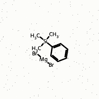 C[Si](C)(C)c1cc[c]cc1.[Br][Mg][Br]